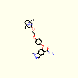 Cn1ncc2cc(C(N)=O)c(Oc3ccc(OCCOC4C[C@H]5CC[C@@H](C4)N5)cc3)cc21